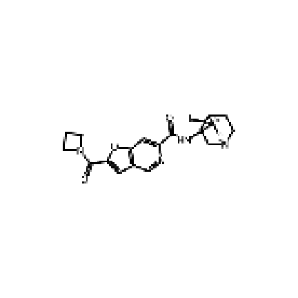 O=C(N[C@H]1CN2CCC1CC2)c1cc2oc(C(=O)N3CCC3)cc2cn1